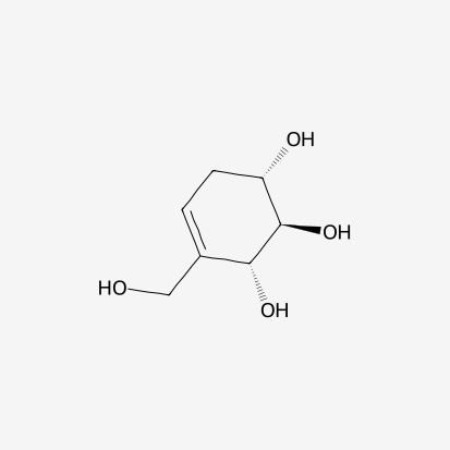 OCC1=CC[C@H](O)[C@@H](O)[C@@H]1O